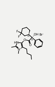 CCCCc1c(OC(=O)[C@](O)(c2ccccc2)[C@@H]2CCCC(F)(F)C2)[nH]c(C)[n+]1C.[Br-]